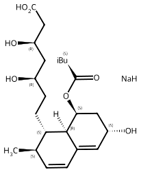 CC[C@H](C)C(=O)O[C@H]1C[C@H](O)C=C2C=C[C@@H](C)[C@H](CC[C@@H](O)C[C@@H](O)CC(=O)O)[C@H]21.[NaH]